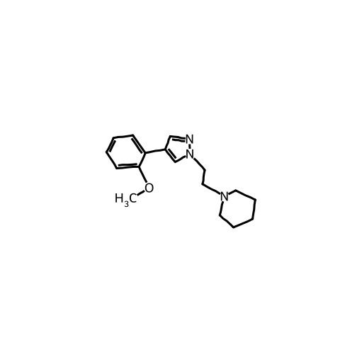 COc1ccccc1-c1cnn(CCN2CCCCC2)c1